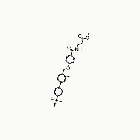 COC(=O)CCNC(=O)c1ccc(OCc2ccc(-c3ccc(C(F)(F)F)cc3)cc2C)cc1